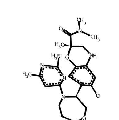 Cc1cc(N2CCCOC[C@@H]2c2cc3c(cc2Cl)NC[C@@](C)(C(=O)N(C)C)O3)nc(N)n1